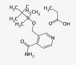 CC(C)(C)[Si](C)(C)OCc1cnccc1C(N)=O.CCC(=O)O